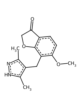 COc1ccc2c(c1Cc1c(C)n[nH]c1C)OCC2=O